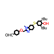 Cn1c(COc2ccc(C=O)cc2)nc2ccc(Sc3cc(C(C)(C)C)c(O)c(C(C)(C)C)c3)cc21